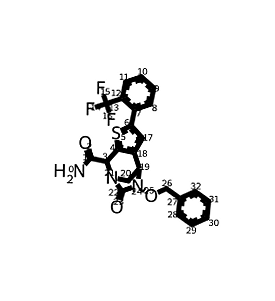 NC(=O)C1c2sc(-c3ccccc3C(F)(F)F)cc2C2CN1C(=O)N2OCc1ccccc1